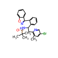 Cc1cc(Br)cnc1CC(N[S@@+]([O-])C(C)(C)C)c1ccccc1-c1noc2ccccc12